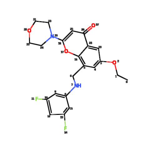 CCOc1cc(CNc2cc(F)cc(F)c2)c2oc(N3CCOCC3)cc(=O)c2c1